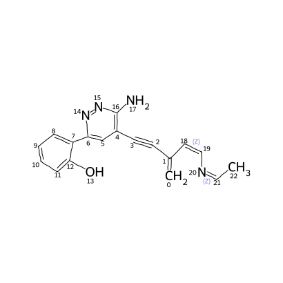 C=C(C#Cc1cc(-c2ccccc2O)nnc1N)/C=C\N=C/C